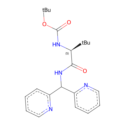 CC(C)(C)OC(=O)N[C@H](C(=O)NC(c1ccccn1)c1ccccn1)C(C)(C)C